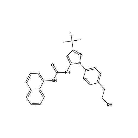 CC(C)(C)c1cc(NC(=O)Nc2cccc3ccccc23)n(-c2ccc(CCO)cc2)n1